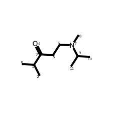 CC(C)C(=O)CCN(C)C(C)C